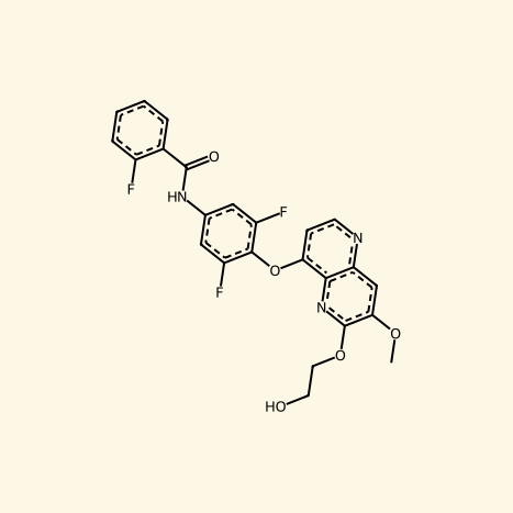 COc1cc2nccc(Oc3c(F)cc(NC(=O)c4ccccc4F)cc3F)c2nc1OCCO